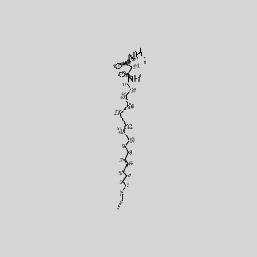 CCCCCCCCCCCCCCCCCCNC(=O)CC(N)=O